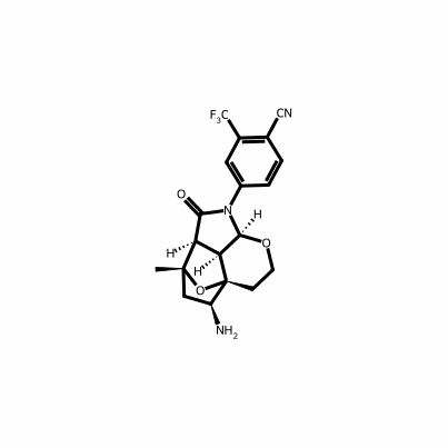 C[C@@]12C[C@H](N)[C@]3(CCO[C@H]4[C@@H]3[C@@H]1C(=O)N4c1ccc(C#N)c(C(F)(F)F)c1)O2